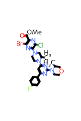 COC(=O)c1nc(Cl)c(N2CCN(c3cc(-c4ccc(F)cc4)nc(N4CCOCC4C)n3)C(C)C2)nc1Br